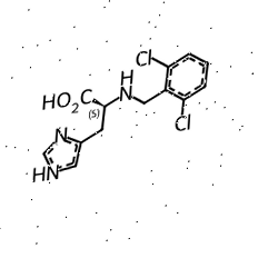 O=C(O)[C@H](Cc1c[nH]cn1)NCc1c(Cl)cccc1Cl